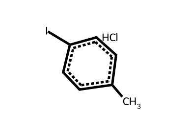 Cc1ccc(I)cc1.Cl